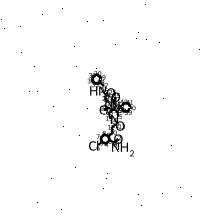 NC(=O)c1cc(Cl)ccc1C[CH]C(=O)N1CCC2(CC1)C(=O)N(CC(=O)NCc1ccccc1)C(=O)N2c1ccccc1